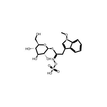 COn1cc(C/C(=N\OS(=O)(=O)O)S[C@@H]2O[C@H](CO)[C@@H](O)[C@H](O)[C@H]2O)c2ccccc21